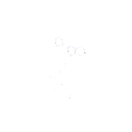 COc1ccc(-c2cc(NCCCN3CC4C(OC(N)=O)CCC4C3C(C)(C)C)c3ccccc3n2)cc1